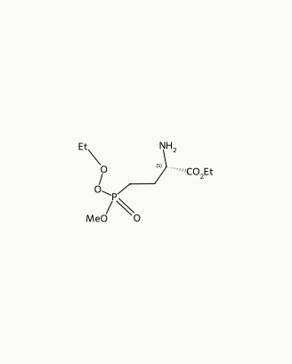 CCOOP(=O)(CC[C@H](N)C(=O)OCC)OC